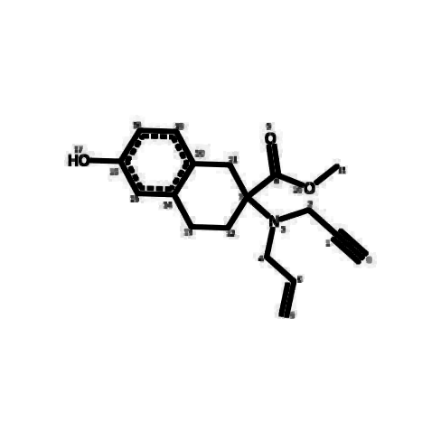 C#CCN(CC=C)C1(C(=O)OC)CCc2cc(O)ccc2C1